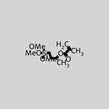 C=C(C)C(=O)O[C@H](C)CC[Si](OC)(OC)OC